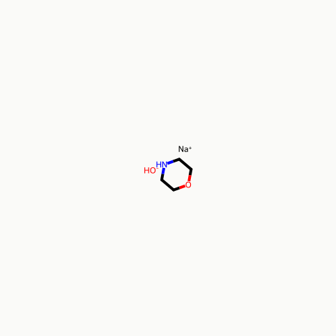 C1COCCN1.[Na+].[OH-]